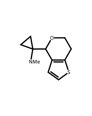 CNC1(C2OCCc3sccc32)CC1